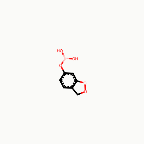 OB(O)Oc1ccc2c(c1)OOC2